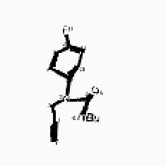 C#CCN(C(=O)CCCC)c1ccc(F)cc1